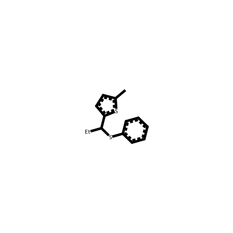 CCC(Sc1ccccc1)c1ccc(C)s1